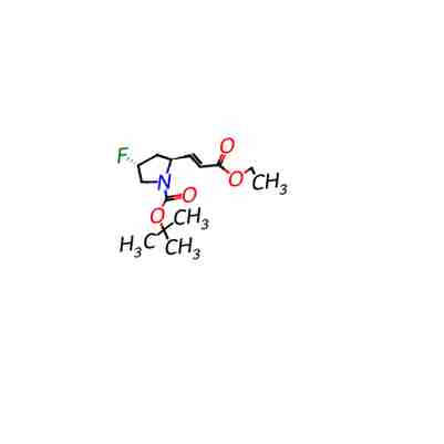 CCOC(=O)/C=C/[C@@H]1C[C@@H](F)CN1C(=O)OC(C)(C)C